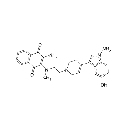 CN(CCN1CC=C(c2cn(N)c3ccc(O)cc23)CC1)C1=C(N)C(=O)c2ccccc2C1=O